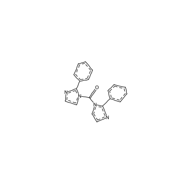 O=C(n1ccnc1-c1ccccc1)n1ccnc1-c1ccccc1